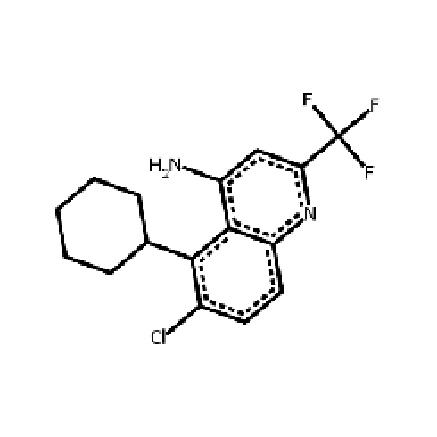 Nc1cc(C(F)(F)F)nc2ccc(Cl)c(C3CCCCC3)c12